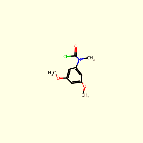 COc1cc(OC)cc(N(C)C(=O)Cl)c1